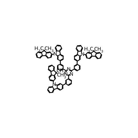 CC1(C)c2ccccc2-c2ccc(-n3c4ccccc4c4ccc(-c5cccc(-c6nc(-c7cccc(-c8ccc9c%10ccccc%10n(-c%10ccc%11c(c%10)C(C)(C)c%10ccccc%10-%11)c9c8)c7)nc(-c7cccc(-c8ccc9c%10ccccc%10n(-c%10ccc%11c(c%10)C(C)(C)c%10ccccc%10-%11)c9c8)c7)n6)c5)cc43)cc21